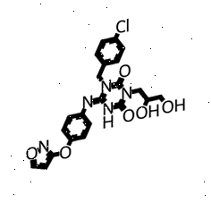 O=c1[nH]/c(=N\c2ccc(Oc3ccon3)cc2)n(Cc2ccc(Cl)cc2)c(=O)n1CC(O)CO